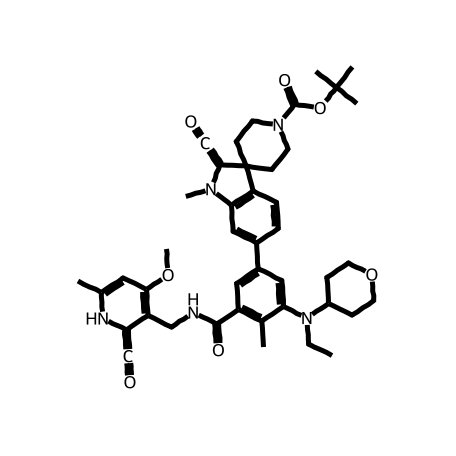 CCN(c1cc(-c2ccc3c(c2)N(C)C(=C=O)C32CCN(C(=O)OC(C)(C)C)CC2)cc(C(=O)NCC2=C(OC)C=C(C)NC2=C=O)c1C)C1CCOCC1